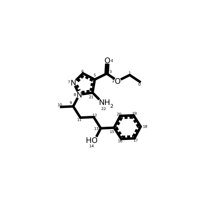 CCOC(=O)c1cnn(C(C)CCC(O)c2ccccc2)c1N